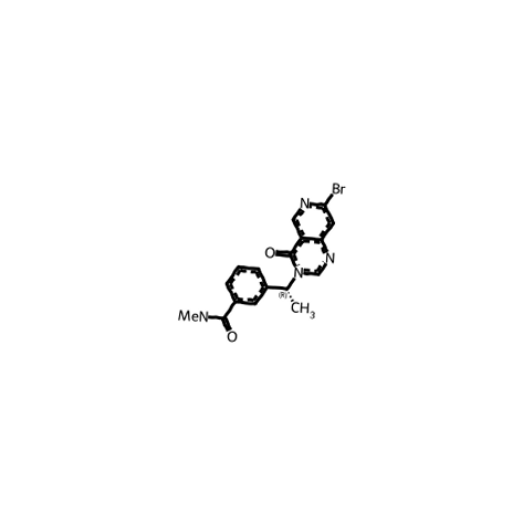 CNC(=O)c1cccc([C@@H](C)n2cnc3cc(Br)ncc3c2=O)c1